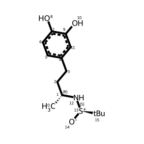 C[C@H](CCc1ccc(O)c(O)c1)N[S@+]([O-])C(C)(C)C